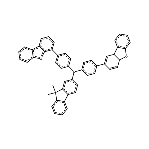 CC1(C)c2ccccc2-c2ccc(N(c3ccc(C4=CC5c6ccccc6OC5C=C4)cc3)c3ccc(-c4cccc5c4oc4ccccc45)cc3)cc21